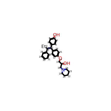 CC/C(=C(\c1ccc(O)cc1)c1ccc(OCC(O)CN2CCCCC2)cc1)c1ccccc1